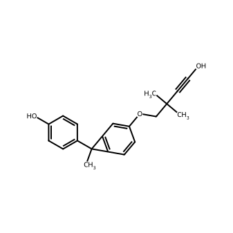 CC(C)(C#CO)COc1ccc2c(c1)C2(C)c1ccc(O)cc1